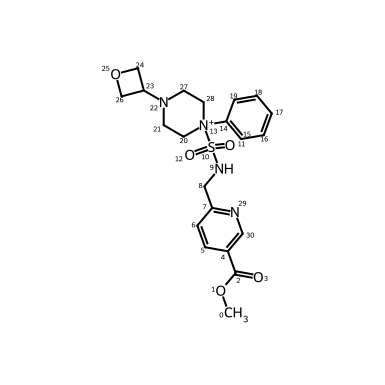 COC(=O)c1ccc(CNS(=O)(=O)[N+]2(c3ccccc3)CCN(C3COC3)CC2)nc1